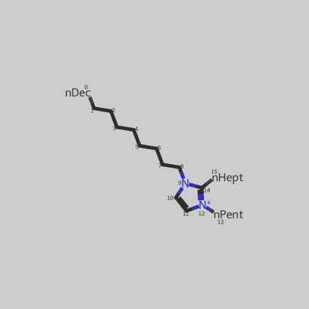 CCCCCCCCCCCCCCCCCCn1cc[n+](CCCCC)c1CCCCCCC